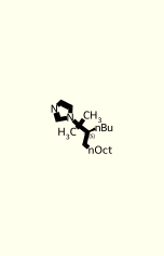 CCCCCCCCC[C@H](CCCC)C(C)(C)n1ccnc1